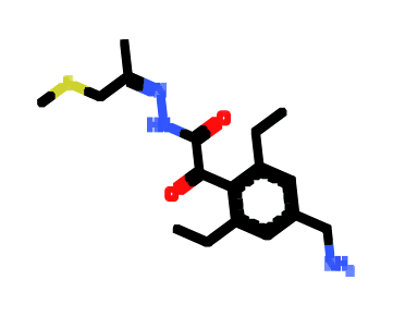 CCc1cc(CN)cc(CC)c1C(=O)C(=O)NN=C(C)CSC